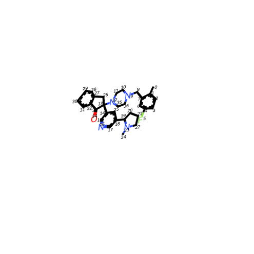 Cc1ccc(F)cc1CN1CCN(C2(c3cncc(C4CCCN4C)c3)Cc3ccccc3C2=O)CC1